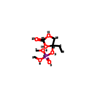 CCC1(OP(=O)(OC)OC)COC(=O)O1